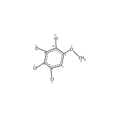 COc1cc(Cl)c(Cl)c(Cl)c1Cl